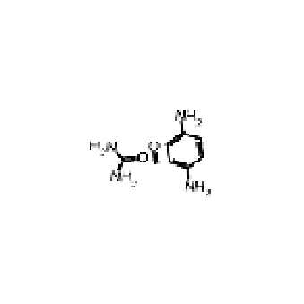 C=O.NC(N)=O.Nc1ccc(N)cc1